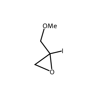 COCC1(I)CO1